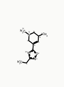 CCc1noc(C2=CC(C)CN(C)C2)n1